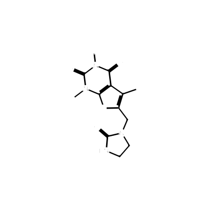 CCn1c(=O)c2c(C)c(CN3CCNC3=O)sc2n(C)c1=O